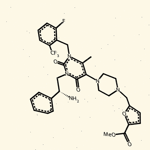 COC(=O)c1ccc(CN2CCN(c3c(C)n(Cc4c(F)cccc4C(F)(F)F)c(=O)n(C[C@H](N)c4ccccc4)c3=O)CC2)o1